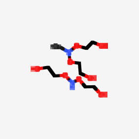 CCCCN(OCCO)OCCO.OCCONOCCO